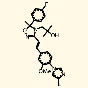 COc1cc(/C=C/C2=NOC(C)(c3ccc(F)cc3)N2CC(C)(C)O)ccc1-n1cnc(C)c1